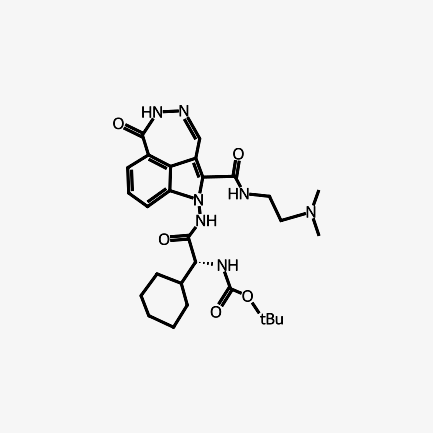 CN(C)CCNC(=O)c1c2c3c(cccc3n1NC(=O)[C@H](NC(=O)OC(C)(C)C)C1CCCCC1)C(=O)NN=C2